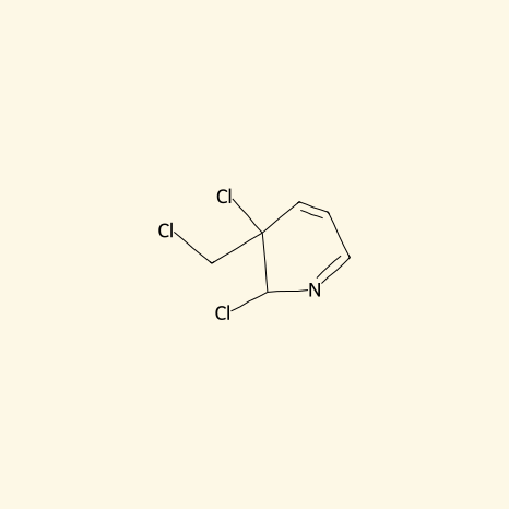 ClCC1(Cl)C=CC=NC1Cl